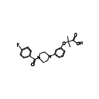 CC(C)(Oc1cccc(N2CCN(C(=O)c3ccc(F)cc3)CC2)c1)C(=O)O